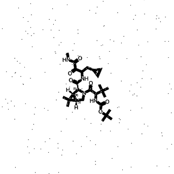 CNC(=O)C(=O)C(CC1CC1)NC(=O)[C@@H]1[C@@H]2[C@H](CN1C(=O)C(NC(=O)OC(C)(C)C)C(C)(C)C)C2(C)C